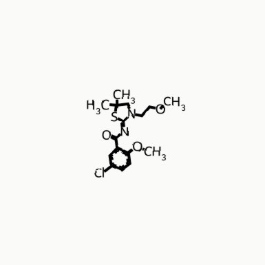 COCCN1CC(C)(C)S/C1=N\C(=O)c1cc(Cl)ccc1OC